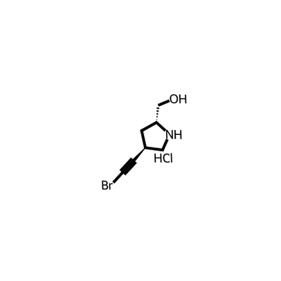 Cl.OC[C@H]1C[C@H](C#CBr)CN1